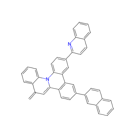 C=C1C=C2c3ccc(-c4ccc5ccccc5c4)cc3-c3cc(-c4ccc5ccccc5n4)ccc3N2c2ccccc21